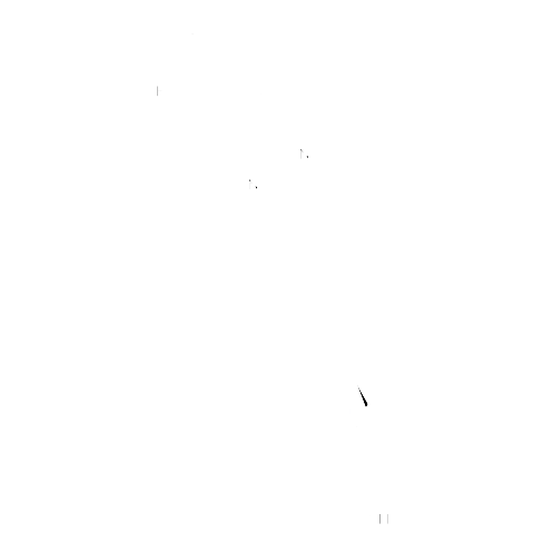 CCC/C=C/[C@H]1CC[C@H](CCc2cnc(-c3ccc(Cl)c(F)c3)nc2)CC1